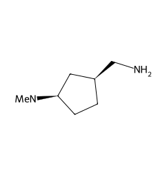 CN[C@@H]1CC[C@H](CN)C1